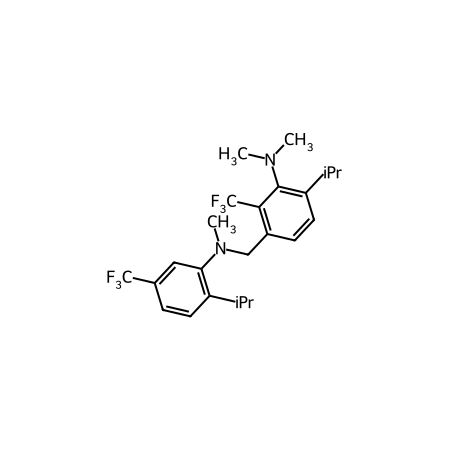 CC(C)c1ccc(C(F)(F)F)cc1N(C)Cc1ccc(C(C)C)c(N(C)C)c1C(F)(F)F